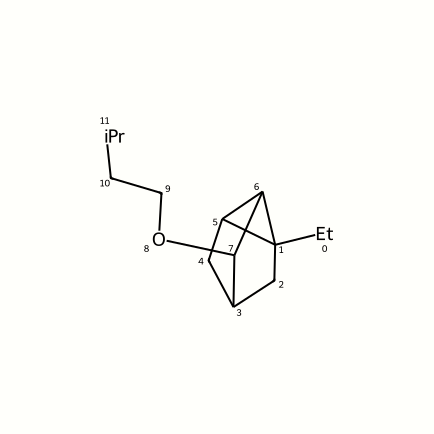 CCC12CC3CC1C2C3OCCC(C)C